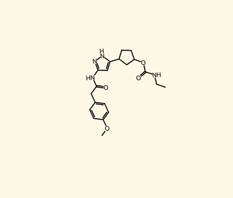 CCNC(=O)OC1CCC(c2cc(NC(=O)Cc3ccc(OC)cc3)n[nH]2)C1